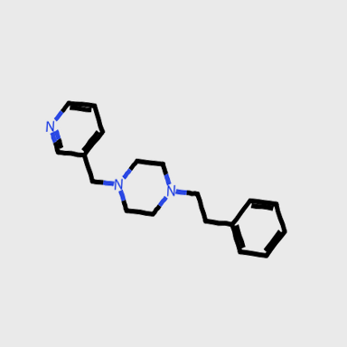 c1ccc(CCN2CCN(Cc3cccnc3)CC2)cc1